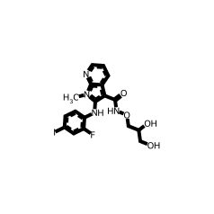 Cn1c(Nc2ccc(I)cc2F)c(C(=O)NOCC(O)CO)c2cccnc21